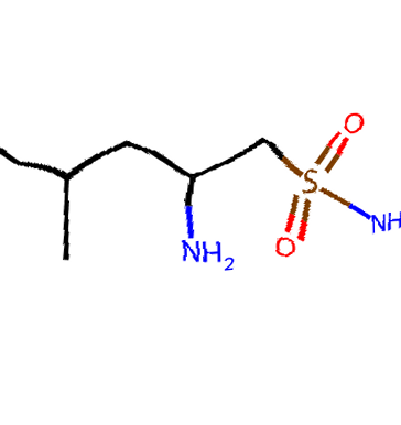 CC(C)CC(N)CS(N)(=O)=O